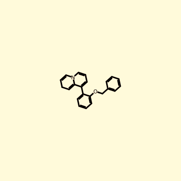 C1=CN2C=CCC=C2C(c2ccccc2OCc2ccccc2)=C1